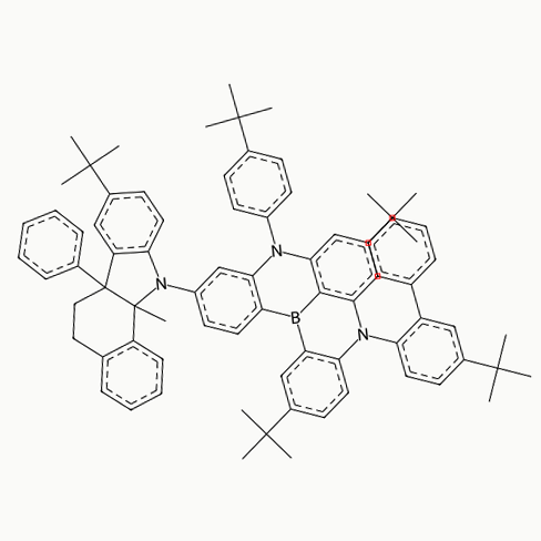 CC(C)(C)c1ccc(N2c3cc(N4c5ccc(C(C)(C)C)cc5C5(c6ccccc6)CCc6ccccc6C45C)ccc3B3c4cc(C(C)(C)C)ccc4N(c4ccc(C(C)(C)C)cc4-c4ccccc4)c4cc(C(C)(C)C)cc2c43)cc1